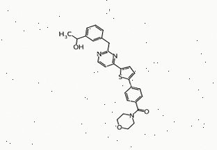 CC(O)c1cccc(Cc2nccc(-c3ccc(-c4ccc(C(=O)N5CCOCC5)cc4)s3)n2)c1